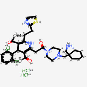 COC(=O)C1=C(CCc2nccs2)NC(CC(=O)N2CCN(CC3(CN)CCCCC3)CC2)=C(C(=O)OC)C1c1c(Cl)cccc1Cl.Cl.Cl